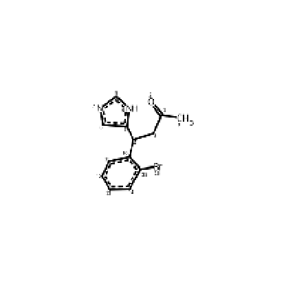 CC(=O)CC(c1cnc[nH]1)c1ccccc1Br